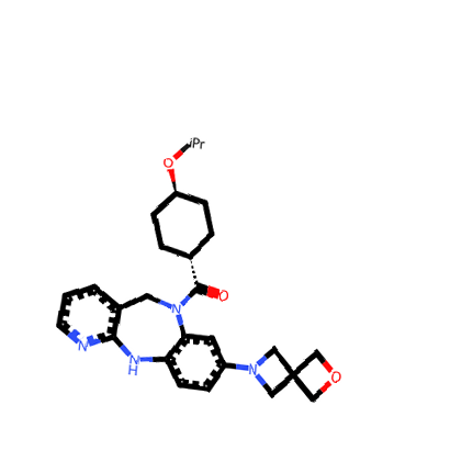 CC(C)O[C@H]1CC[C@H](C(=O)N2Cc3cccnc3Nc3ccc(N4CC5(COC5)C4)cc32)CC1